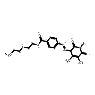 CCN1C(=O)C(C#N)=C(C)C(N=Nc2ccc(C(=O)OCCOCCOC)cc2)C1=O